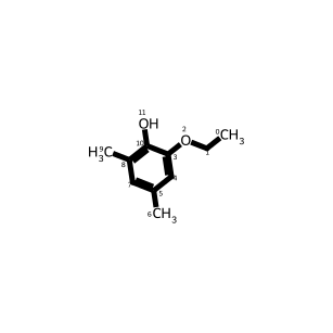 CCOc1cc(C)cc(C)c1O